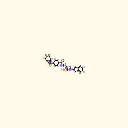 O=C(NC[C@@H](O)CNC1Cc2ccccc2C1)c1ccc(C(=O)N2C3CCCC2CC3)cc1